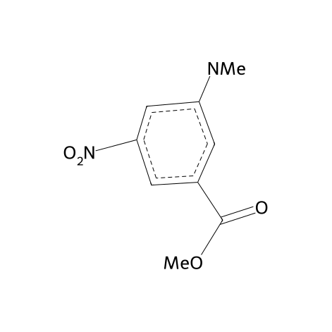 CNc1cc(C(=O)OC)cc([N+](=O)[O-])c1